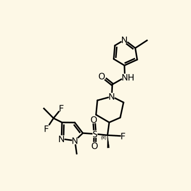 Cc1cc(NC(=O)N2CCC([C@](C)(F)S(=O)(=O)c3cc(C(C)(F)F)nn3C)CC2)ccn1